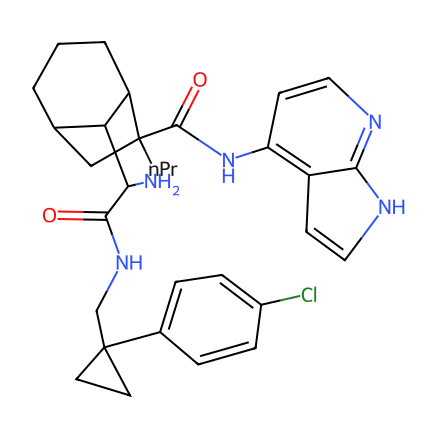 CCCC1(C(=O)Nc2ccnc3[nH]ccc23)CC2CCCC1C2C(N)C(=O)NCC1(c2ccc(Cl)cc2)CC1